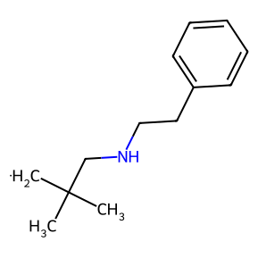 [CH2]C(C)(C)CNCCc1ccccc1